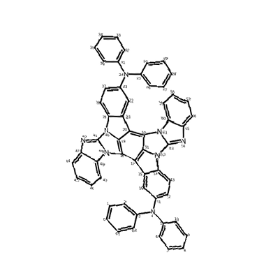 c1ccc(N(c2ccccc2)c2ccc3c(c2)c2c4c5c(c6cc(N(c7ccccc7)c7ccccc7)ccc6n5c5nc6ccccc6n45)c4c2n3c2nc3ccccc3n42)cc1